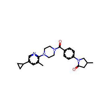 Cc1cc(C2CC2)cnc1N1CCN(C(=O)c2ccc(N3CC(C)CC3=O)cc2)CC1